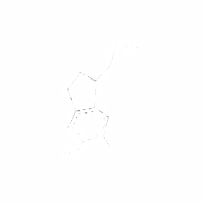 Cc1cc2c(cc1O)CCC2CC(=O)O